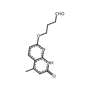 Cc1cc(=O)[nH]c2nc(OCCCC=O)ccc12